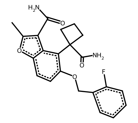 Cc1oc2ccc(OCc3ccccc3F)c(C3(C(N)=O)CCC3)c2c1C(N)=O